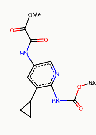 COC(=O)C(=O)Nc1cnc(NC(=O)OC(C)(C)C)c(C2CC2)c1